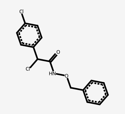 O=C(NOCc1ccccc1)C(Cl)c1ccc(Cl)cc1